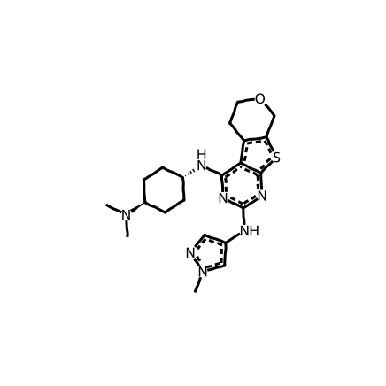 Cn1cc(Nc2nc(N[C@H]3CC[C@H](N(C)C)CC3)c3c4c(sc3n2)COCC4)cn1